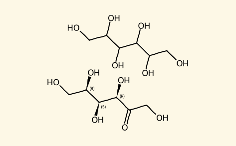 O=C(CO)[C@H](O)[C@@H](O)[C@H](O)CO.OCC(O)C(O)C(O)C(O)CO